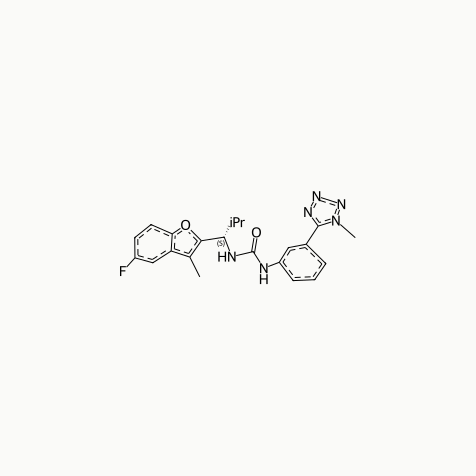 Cc1c([C@@H](NC(=O)Nc2cccc(-c3nnnn3C)c2)C(C)C)oc2ccc(F)cc12